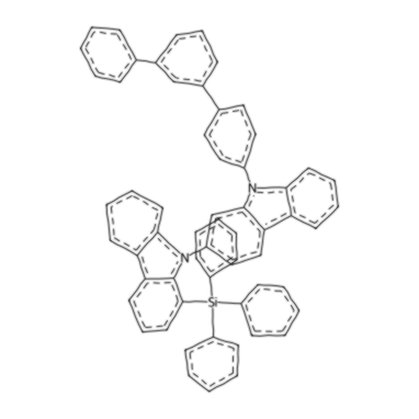 c1ccc(-c2cccc(-c3ccc(-n4c5ccccc5c5ccc(-n6c7ccccc7c7cccc([Si](c8ccccc8)(c8ccccc8)c8ccccc8)c76)cc54)cc3)c2)cc1